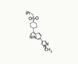 CC(C)CS(=O)(=O)C1CCC(c2cnn3cc(-c4cnn(C)c4)ccc23)CC1